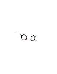 O=[N+]([O-])c1cc(OC2CCC(C(F)(F)F)CC2)ccc1F